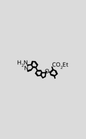 CCOC(=O)Cc1ccc(C)cc1OC1CCc2ccc(-c3cccc4c(N)nccc34)cc21